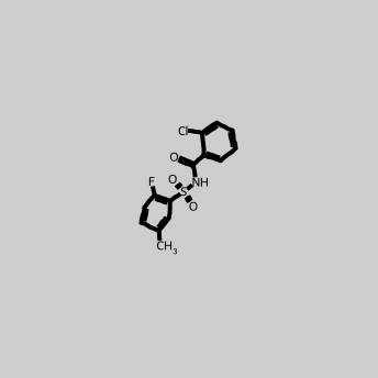 Cc1ccc(F)c(S(=O)(=O)NC(=O)c2ccccc2Cl)c1